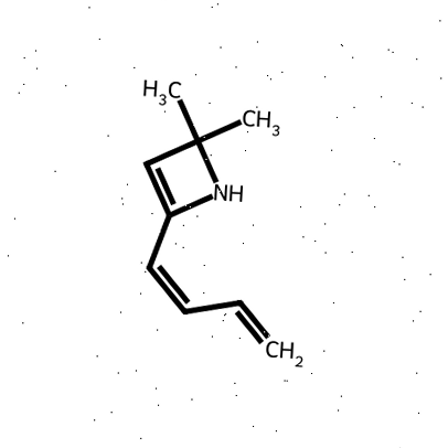 C=C/C=C\C1=CC(C)(C)N1